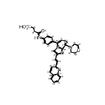 O=C(O)CCC(=O)Nc1ccc(-c2cnc(N3CCOCC3)c3nc(/C=C/c4ccc5ccccc5n4)cn23)cc1